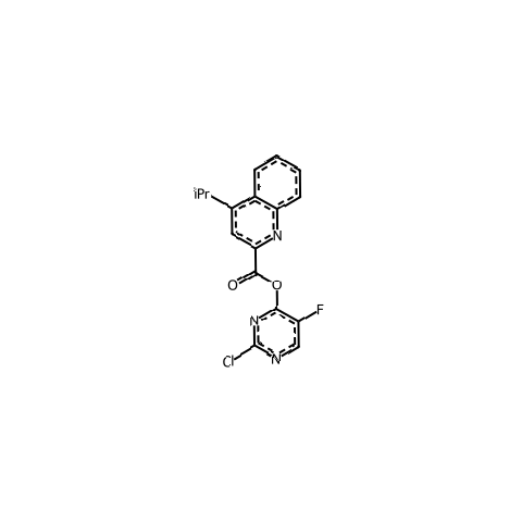 CC(C)c1cc(C(=O)Oc2nc(Cl)ncc2F)nc2ccccc12